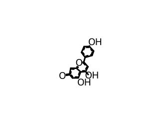 O=c1cc2oc(-c3ccc(O)cc3)cc(O)c-2c(O)c1